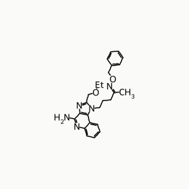 CCOCc1nc2c(N)nc3ccccc3c2n1CCCC(C)=NOCc1ccccc1